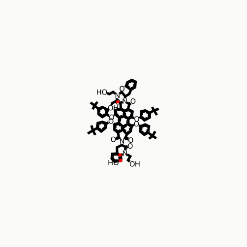 CC(C)(C)c1ccc(Oc2cc3c4c(cc(Oc5ccc(C(C)(C)C)cc5)c5c6c(Oc7ccc(C(C)(C)C)cc7)cc7c8c(cc(Oc9ccc(C(C)(C)C)cc9)c(c2c45)c86)C(=O)N(C(Cc2ccccc2)C(=O)N(CCO)CCO)C7=O)C(=O)N(C(Cc2ccccc2)C(=O)N(CCO)CCO)C3=O)cc1